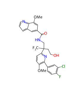 COc1ccc(C(CCO)(CNC(=O)c2cc(OC)c3ncccc3c2)C(F)(F)F)nc1-c1ccc(F)c(Cl)c1